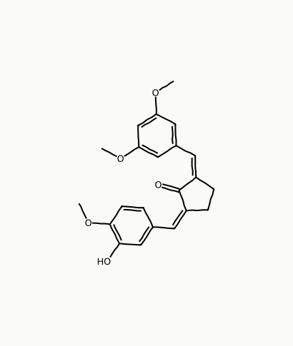 COc1cc(C=C2CCC(=Cc3ccc(OC)c(O)c3)C2=O)cc(OC)c1